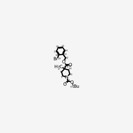 CC(C)(C)OC(=O)N1CCC(C)(C(=O)OCc2ccccc2Br)CC1